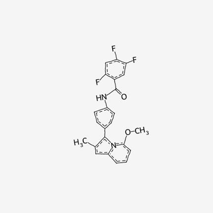 COc1cccc2cc(C)c(-c3ccc(NC(=O)c4cc(F)c(F)cc4F)cc3)n12